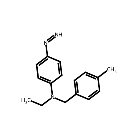 CCN(Cc1ccc(C)cc1)c1ccc(N=N)cc1